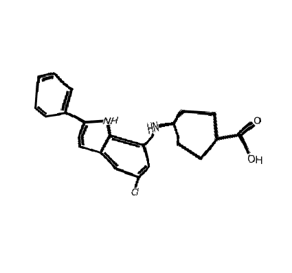 O=C(O)C1CCC(Nc2cc(Cl)cc3cc(-c4ccccc4)[nH]c23)CC1